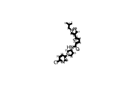 CC(C)Cn1cc(-c2ccc(C(=O)N[C@H]3CCN(c4ccc(Cl)nn4)C3)s2)cn1